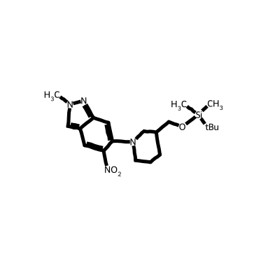 Cn1cc2cc([N+](=O)[O-])c(N3CCCC(CO[Si](C)(C)C(C)(C)C)C3)cc2n1